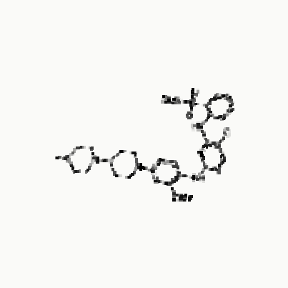 CNS(=O)(=O)c1ccccc1Nc1nc(Nc2ccc(N3CCC(N4CCN(C)CC4)CC3)cc2OC)ncc1Cl